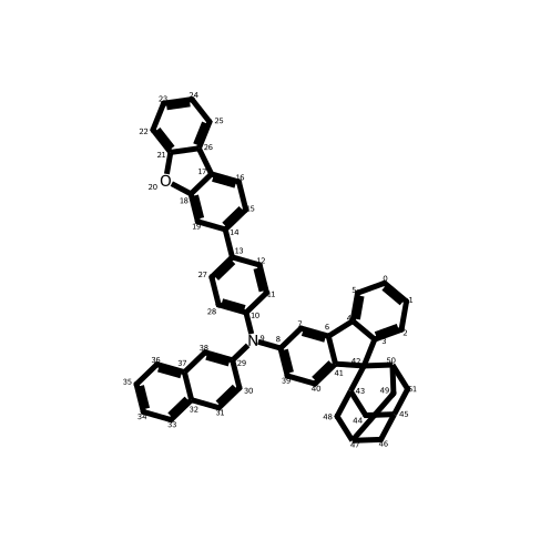 c1ccc2c(c1)-c1cc(N(c3ccc(-c4ccc5c(c4)oc4ccccc45)cc3)c3ccc4ccccc4c3)ccc1C21C2CC3CC(C2)CC1C3